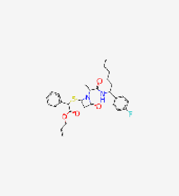 C=CCOC(=O)C(SC1CC(=O)N1C(C)C(=O)NC(CCCCC)c1ccc(F)cc1)c1ccccc1